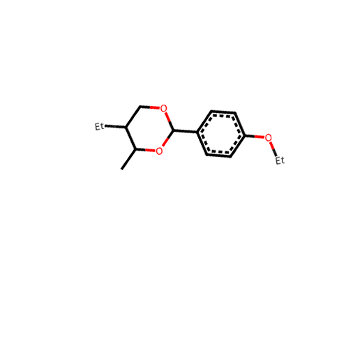 CCOc1ccc(C2OCC(CC)C(C)O2)cc1